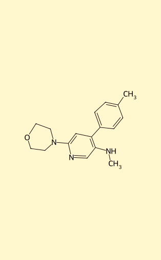 CNc1cnc(N2CCOCC2)cc1-c1ccc(C)cc1